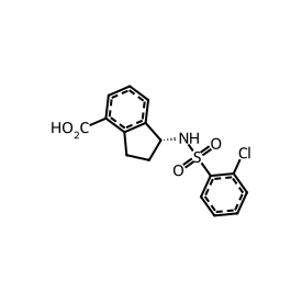 O=C(O)c1cccc2c1CC[C@H]2NS(=O)(=O)c1ccccc1Cl